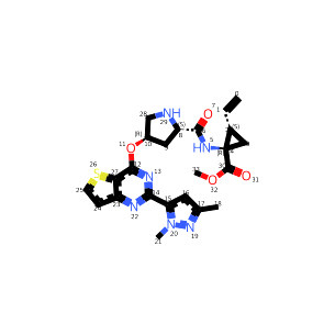 C=C[C@@H]1C[C@]1(NC(=O)[C@@H]1C[C@@H](Oc2nc(-c3cc(C)nn3C)nc3ccsc23)CN1)C(=O)OC